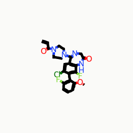 C=CC(=O)N1CCN(C2=NCC(=O)Nc3c2cc(Cl)c(-c2c(F)cccc2OC)c3F)CC1